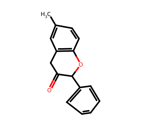 Cc1ccc2c(c1)CC(=O)C(c1ccccc1)O2